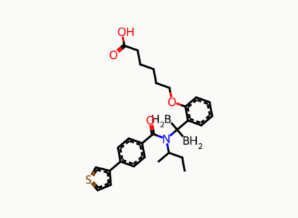 BC(B)(c1ccccc1OCCCCCC(=O)O)N(C(=O)c1ccc(-c2ccsc2)cc1)C(C)CC